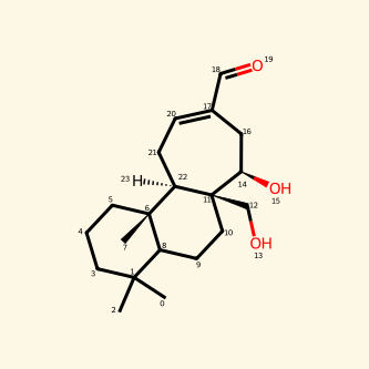 CC1(C)CCC[C@@]2(C)C1CC[C@@]1(CO)[C@H](O)CC(C=O)=CC[C@@H]12